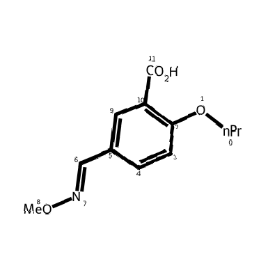 CCCOc1ccc(/C=N/OC)cc1C(=O)O